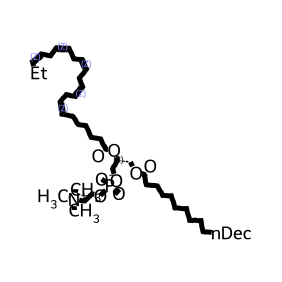 CC/C=C\C/C=C\C/C=C\C/C=C\C/C=C\CCCCCC(=O)O[C@H](COC(=O)CCCCCCCCCCCCCCCCCCC)COP(=O)([O-])OCC[N+](C)(C)C